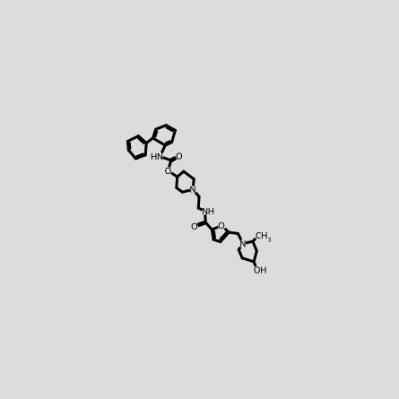 CC1CC(O)CCN1Cc1ccc(C(=O)NCCN2CCC(OC(=O)Nc3ccccc3-c3ccccc3)CC2)o1